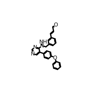 NN(Cc1cccc(C=CC=O)c1)c1ncncc1-c1ccc(Oc2ccccc2)cc1